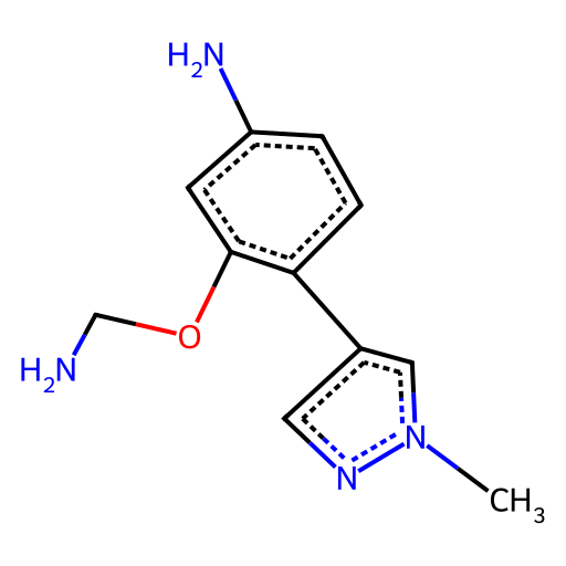 Cn1cc(-c2ccc(N)cc2OCN)cn1